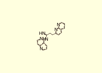 N=C(CCc1ccc2cccnc2n1)/N=c1\[nH]ccc2ncccc12